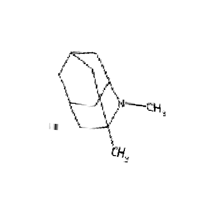 CN1C2CC3CC(C2)CC1(C)C3.I